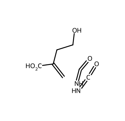 C=C(CCO)C(=O)O.N=C=O.N=C=O